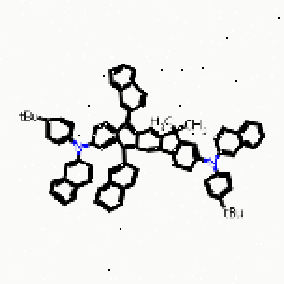 CC(C)(C)c1ccc(N(C2=CC3=C(CC2)c2cc4c(-c5ccc6ccccc6c5)c5c(c(-c6ccc7ccccc7c6)c4cc2C3(C)C)=CCC(N(c2ccc(C(C)(C)C)cc2)c2ccc3ccccc3c2)C=5)c2ccc3ccccc3c2)cc1